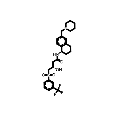 O=C(C[C@H](O)CS(=O)(=O)c1cccc(C(F)(F)F)c1)N[C@@H]1CCCc2cc(CN3CCCCC3)ccc21